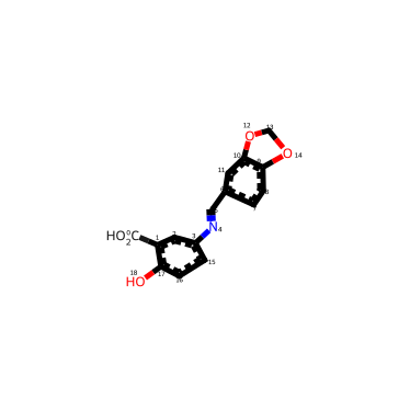 O=C(O)c1cc(/N=C/c2ccc3c(c2)OCO3)ccc1O